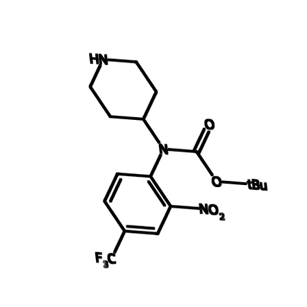 CC(C)(C)OC(=O)N(c1ccc(C(F)(F)F)cc1[N+](=O)[O-])C1CCNCC1